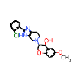 COc1ccc2c(c1)[C@H](O)[C@H](N1CCc3nc(-c4ccccc4Cl)[nH]c3C1)CO2